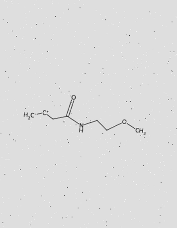 [CH2-][CH+]CC(=O)NCCOC